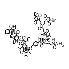 CC[C@H](C)[C@@H]([C@@H](CC(=O)N1CCC[C@H]1[C@H](OC)[C@@H](C)C(=O)N[C@H](C)[C@@H](O)c1ccccc1)OC)N(C)C(=O)[C@@H](NC(=O)[C@H](C(C)C)N(C)C(=O)OCc1ccc(NC(=O)[C@H](CCCNC(N)=O)NC(=O)[C@@H](NC(=O)CCC(=O)N(CCN2C(=O)C=C(Br)C2=O)CCN2C(=O)C=C(Br)C2=O)C(C)C)cc1)C(C)C